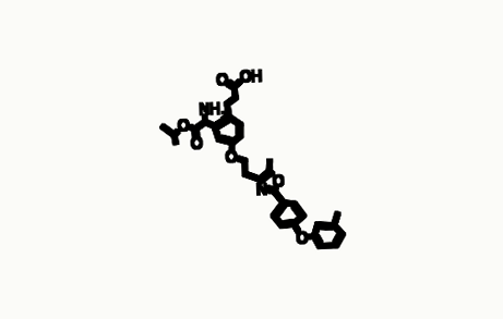 Cc1cccc(Oc2ccc(-c3nc(CCOc4ccc(CCC(=O)O)c(C(N)C(=O)OC(C)C)c4)c(C)o3)cc2)c1